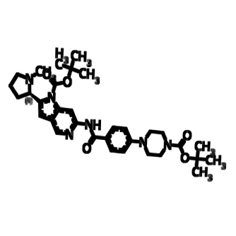 CN1CCC[C@@H]1c1cc2cnc(NC(=O)c3ccc(N4CCN(C(=O)OC(C)(C)C)CC4)cc3)cc2n1C(=O)OC(C)(C)C